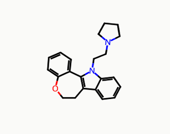 c1ccc2c(c1)OCCc1c-2n(CCN2CCCC2)c2ccccc12